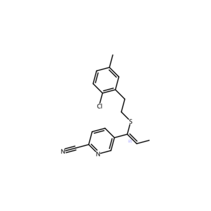 C/C=C(\SCCc1cc(C)ccc1Cl)c1ccc(C#N)nc1